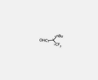 CCCCC(C=O)C(F)(F)F